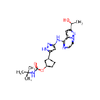 CC(O)c1cc2c(Nc3cc([C@H]4CC[C@@H](OC(=O)NC(C)(C)C)C4)[nH]n3)nccn2n1